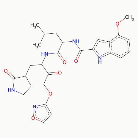 COc1cccc2[nH]c(C(=O)NC(CC(C)C)C(=O)NC(CC3CCNC3=O)C(=O)COc3ccon3)cc12